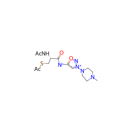 CC(=O)N[C@@H](CSC(C)=O)C(=O)[N-]c1c[n+](N2CCN(C)CC2)no1